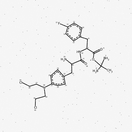 BC(B)(C)OC(=O)C(Cc1ccc(F)cc1)NC(=O)C(N)Cc1ccc(N(CCCl)CCCl)cc1